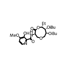 CC[C@H]1OC(=O)[C@H](NC(=O)c2nccc(OC)c2O)COC[C@H](OCC(C)C)[C@H]1OCC(C)C